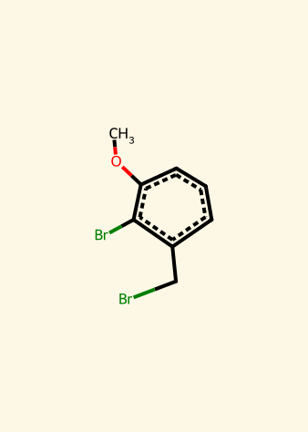 COc1cccc(CBr)c1Br